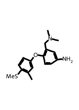 CSc1ccc(Oc2ccc(N)cc2CN(C)C)cc1C